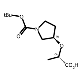 C[C@H](O[C@@H]1CCN(C(=O)OC(C)(C)C)C1)C(=O)O